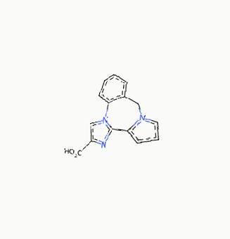 O=C(O)c1cn2c(n1)-c1cccn1Cc1ccccc1-2